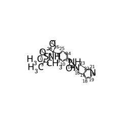 CC(C)(C)[S+]([O-])NC1(c2ccc(NC(=O)N3Cc4ccncc4C3)cc2)COC1